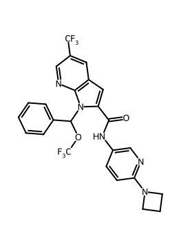 O=C(Nc1ccc(N2CCC2)nc1)c1cc2cc(C(F)(F)F)cnc2n1C(OC(F)(F)F)c1ccccc1